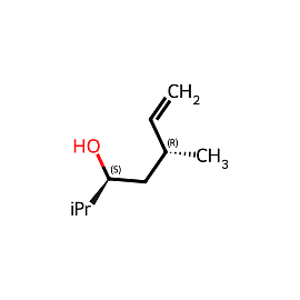 C=C[C@H](C)C[C@H](O)C(C)C